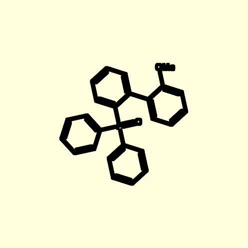 COc1ccccc1-c1ccccc1P(=O)(c1ccccc1)c1ccccc1